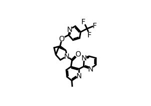 Cc1ccc(C(=O)N2CC3CC(Oc4ccc(C(F)(F)F)cn4)C2C3)c(-c2ncccn2)n1